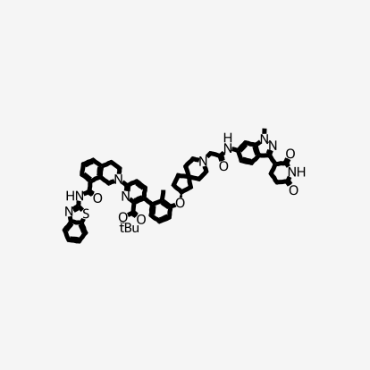 Cc1c(O[C@H]2CCC3(CCN(CC(=O)Nc4ccc5c(C6CCC(=O)NC6=O)nn(C)c5c4)CC3)C2)cccc1-c1ccc(N2CCc3cccc(C(=O)Nc4nc5ccccc5s4)c3C2)nc1C(=O)OC(C)(C)C